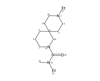 CCN1CCC2(CCCN(C(=O)N(C)CC)C2)CC1